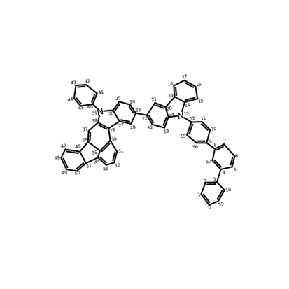 c1ccc(-c2cccc(-c3ccc(-n4c5ccccc5c5cc(-c6ccc7c(c6)c6c8cccc9c8c(cc6n7-c6ccccc6)-c6ccccc6-9)ccc54)cc3)c2)cc1